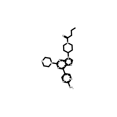 CCCC(=O)N1CCC(n2cnc3c(-c4cnc(N)nc4)nc(N4CCOCC4)nc32)CC1